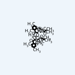 [CH2]C(C)(OC(PCOC(=O)C(C)(C)C)C(=O)c1c(C)cc(C)cc1C)OC(PCOC(=O)C(C)(C)C)C(=O)c1c(C)cc(C)cc1C